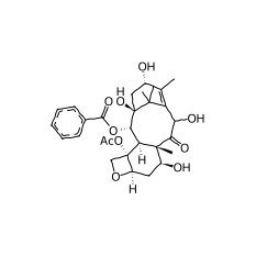 CC(=O)O[C@@]12CO[C@@H]1C[C@H](O)[C@@]1(C)C(=O)C(O)C3=C(C)[C@@H](O)C[C@@](O)([C@@H](OC(=O)c4ccccc4)[C@H]21)C3(C)C